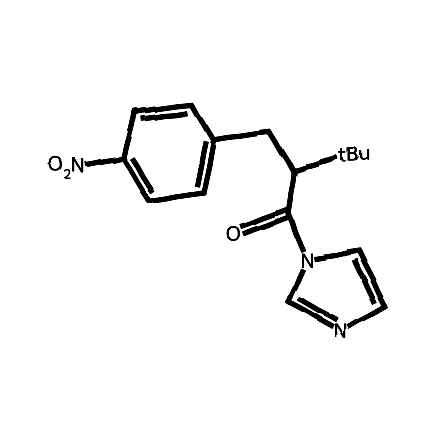 CC(C)(C)C(Cc1ccc([N+](=O)[O-])cc1)C(=O)n1ccnc1